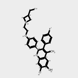 CC1=C(c2ccc(F)cc2)[C@H](c2ccc(OCCN3CC(CF)C3)cc2)Oc2cc(Cl)c(O)cc21